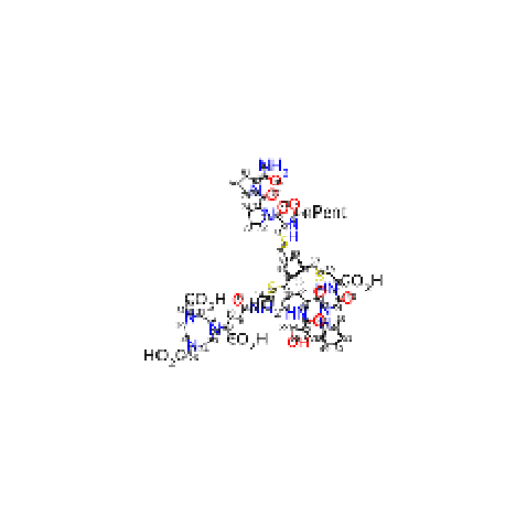 CCCCCC(=O)NC(CSCc1cc(CSCCNC(=O)CCC(C(=O)O)N2CCN(CC(=O)O)CCN(CC(=O)O)CC2)cc(CSCC(NC(=O)[C@H](Cc2ccccc2)NC(=O)[C@H](CCC(=O)O)NC(=O)[C@@H](C)[C@@H](C)O)C(=O)O)c1)C(=O)N1CCC[C@H]1C(=O)N1CCC[C@H]1C(N)=O